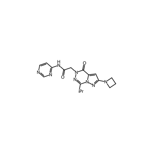 CC(C)c1nn(CC(=O)Nc2ccncn2)c(=O)c2cc(N3CCC3)nn12